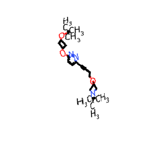 CC(C)(C)OC1CC(Oc2ccc(C#CCCOC3CN(C(C)(C)C)C3)nn2)C1